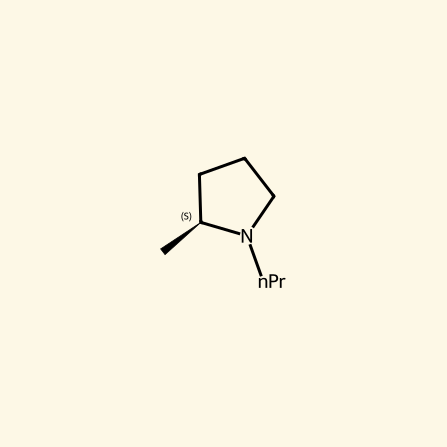 CCCN1CCC[C@@H]1C